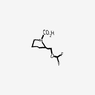 O=C(O)N1CCCC1COC(F)F